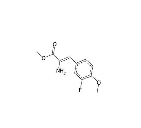 COC(=O)/C(N)=C/c1ccc(OC)c(F)c1